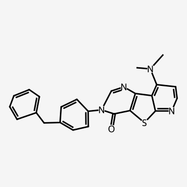 CN(C)c1ccnc2sc3c(=O)n(-c4ccc(Cc5ccccc5)cc4)cnc3c12